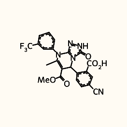 COC(=O)C1=C(C)N(c2cccc(C(F)(F)F)c2)c2n[nH]c(=O)n2C1c1ccc(C#N)cc1C(=O)O